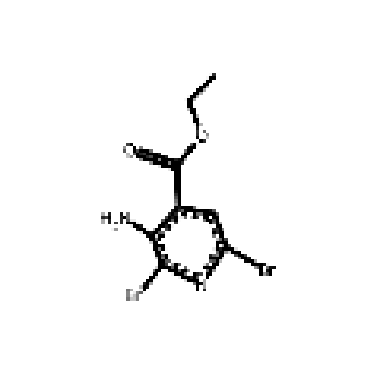 CCOC(=O)c1cc(Br)nc(Br)c1N